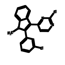 Cn1c(-c2cccc(Cl)c2)c(-c2ccnc(Cl)n2)c2ccccc21